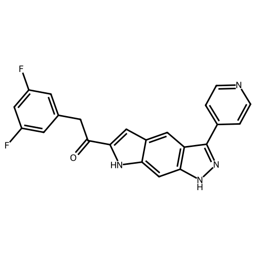 O=C(Cc1cc(F)cc(F)c1)c1cc2cc3c(-c4ccncc4)n[nH]c3cc2[nH]1